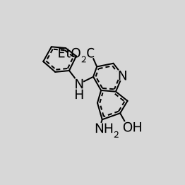 CCOC(=O)c1cnc2cc(O)c(N)cc2c1Nc1ccccc1